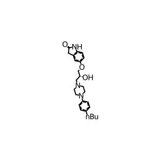 CCCCc1ccc(N2CCN(C[C@@H](O)COc3ccc4c(c3)CC(=O)N4)CC2)cc1